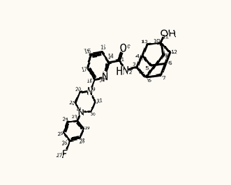 O=C(NC1C2CC3CC1CC(O)(C3)C2)c1cccc(N2CCN(c3ccc(F)cc3)CC2)n1